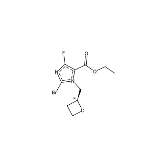 CCOC(=O)c1c(F)nc(Br)n1C[C@@H]1CCO1